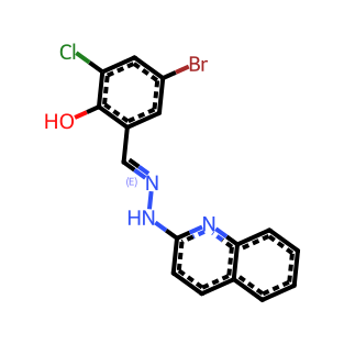 Oc1c(Cl)cc(Br)cc1/C=N/Nc1ccc2ccccc2n1